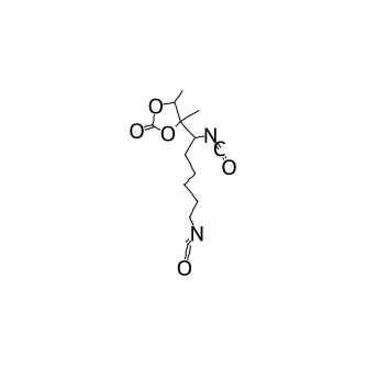 CC1OC(=O)OC1(C)C(CCCCCN=C=O)N=C=O